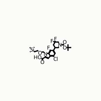 CC(C)(C)OC(=O)N1CC(c2cc(Cl)c3cc(C(=O)O)n(COCC[Si](C)(C)C)c3c2F)CC(F)(F)C1